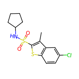 Cc1c(S(=O)(=O)NC2CCCC2)sc2ccc(Cl)cc12